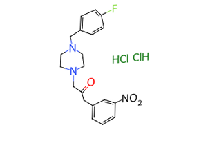 Cl.Cl.O=C(Cc1cccc([N+](=O)[O-])c1)CN1CCN(Cc2ccc(F)cc2)CC1